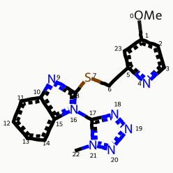 COc1ccnc(CSc2nc3ccccc3n2-c2nnnn2C)c1